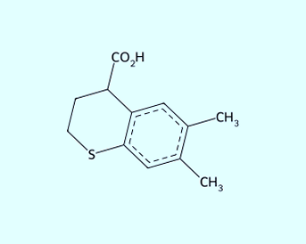 Cc1cc2c(cc1C)C(C(=O)O)CCS2